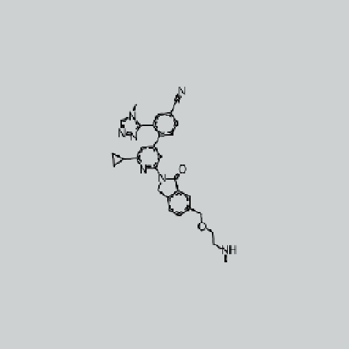 CNCCOCc1ccc2c(c1)C(=O)N(c1cc(-c3ccc(C#N)cc3-c3nncn3C)cc(C3CC3)n1)C2